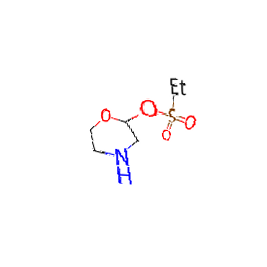 CCS(=O)(=O)OC1CNCCO1